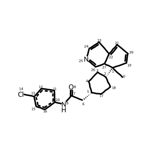 CC1([C@H]2CC[C@@H](CC(=O)Nc3ccc(Cl)cc3)CC2)C=CC=C2C=CN=CC21